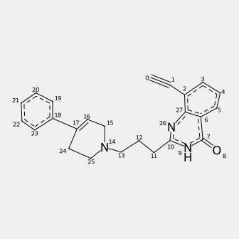 C#Cc1cccc2c(=O)[nH]c(CCCN3CC=C(c4ccccc4)CC3)nc12